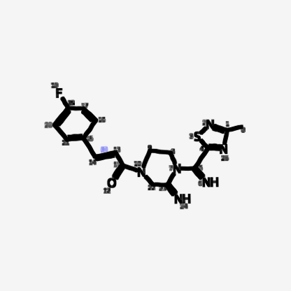 Cc1nsc(C(=N)N2CCN(C(=O)/C=C/c3ccc(F)cc3)CC2=N)n1